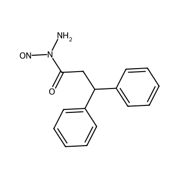 NN(N=O)C(=O)CC(c1ccccc1)c1ccccc1